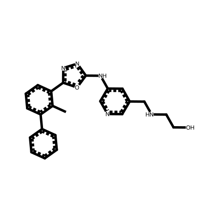 Cc1c(-c2ccccc2)cccc1-c1nnc(Nc2cncc(CNCCO)c2)o1